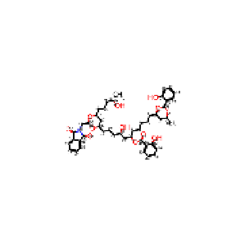 CCC1CC(CCCC2CC(CC(O)CCCC3CC(CCC[C@H](C)O)OC(CN4C(=O)c5ccccc5C4=O)O3)OC(c3ccccc3O)O2)OC(c2ccccc2O)O1